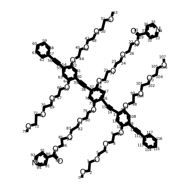 COCCOCCOCCOc1cc(C#Cc2cc(OCCOCCOCCOC(=O)c3ccncc3)c(C#Cc3cc(OCCOCCOCCOC)c(C#Cc4ccccc4)cc3OCCOCCOCCOC)cc2OCCOCCOCCOC(=O)c2ccncc2)c(OCCOCCOCCOC)cc1C#Cc1ccccc1